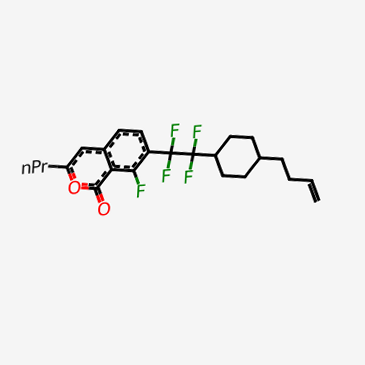 C=CCCC1CCC(C(F)(F)C(F)(F)c2ccc3cc(CCC)oc(=O)c3c2F)CC1